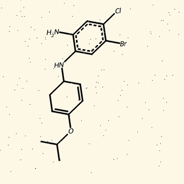 CC(C)OC1=CCC(Nc2cc(Br)c(Cl)cc2N)C=C1